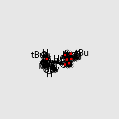 C[C@@H](C(=O)N[C@H]1CCS[C@H]2C[C@H](O)[C@@H](C(=O)N[C@H]3c4ccccc4C[C@H]3OCC#CC#CCO[C@@H]3Cc4ccccc4[C@@H]3NC(=O)[C@@H]3[C@@H](O)C[C@@H]4SCC[C@H](NC(=O)[C@H](C)N(C)C(=O)OC(C)(C)C)C(=O)N43)N2C1=O)N(C)C(=O)OC(C)(C)C